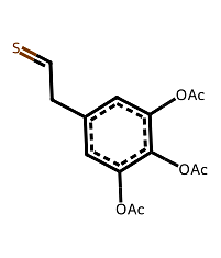 CC(=O)Oc1cc(CC=S)cc(OC(C)=O)c1OC(C)=O